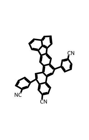 N#Cc1cccc(-c2cc3c4cc5c(cc4c(-c4cccc(C#N)c4)cc3c3ccc(C#N)cc23)-c2cccc3cccc-5c23)c1